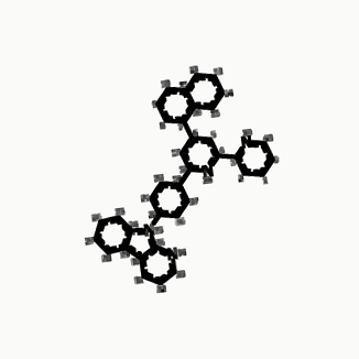 c1ccc(-c2cc(-c3cccc4ccccc34)cc(-c3ccc(-n4c5ccccc5c5cccnc54)cc3)n2)nc1